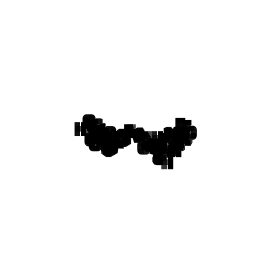 COc1cc(C(=O)NC2CC(N(C)C3CCN(c4cccc5c4C(=O)N(C4CCC(=O)NC4=O)C5=O)CC3)C2)ccc1Nc1ncc2c(n1)N(C(C)C)CC(F)(F)C(=O)N2C